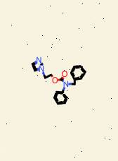 O=C(OCCn1ccnc1)N(Cc1ccccc1)c1ccccc1